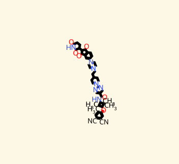 CC1(C)[C@H](NC(=O)c2cnc(N3CCC(CCN4CCN(c5ccc6c(c5)C(=O)C(C5CCC(=O)NC5=O)C6=O)CC4)CC3)nc2)C(C)(C)[C@H]1Oc1ccc(C#N)c(C#N)c1